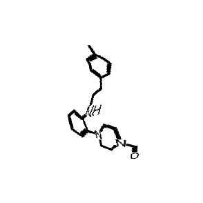 Cc1ccc(CCNc2ccccc2N2CCN(C=O)CC2)cc1